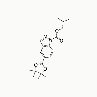 CC(C)COC(=O)n1ncc2cc(B3OC(C)(C)C(C)(C)O3)ccc21